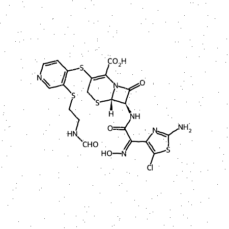 Nc1nc(/C(=N/O)C(=O)N[C@@H]2C(=O)N3C(C(=O)O)=C(Sc4ccncc4SCCNC=O)CS[C@@H]23)c(Cl)s1